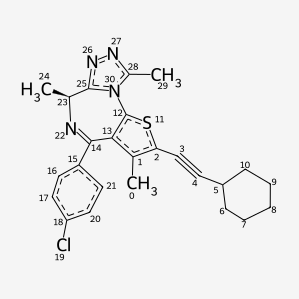 Cc1c(C#CC2CCCCC2)sc2c1C(c1ccc(Cl)cc1)=N[C@@H](C)c1nnc(C)n1-2